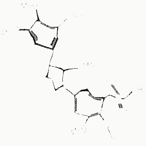 CCCOc1c(OC)cc(C2CCC(c3cc(OC)c(OC)c(OC)c3)C2OC)cc1S(C)(=O)=O